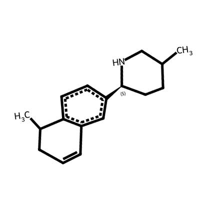 CC1CC[C@@H](c2ccc3c(c2)C=CCC3C)NC1